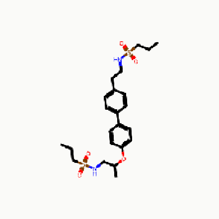 CCCS(=O)(=O)NCCc1ccc(-c2ccc(OC(C)CNS(=O)(=O)CCC)cc2)cc1